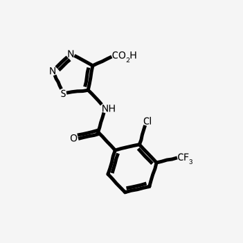 O=C(Nc1snnc1C(=O)O)c1cccc(C(F)(F)F)c1Cl